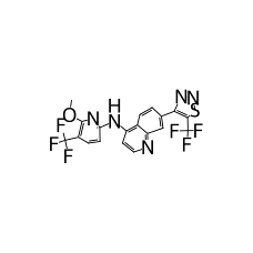 COc1nc(Nc2ccnc3cc(-c4nnsc4C(F)(F)F)ccc23)ccc1C(F)(F)F